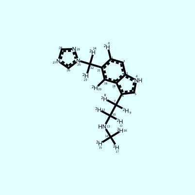 [2H]c1cc2[nH]cc(C([2H])([2H])C([2H])([2H])NC([2H])([2H])[2H])c2c([2H])c1C([2H])([2H])n1cncn1